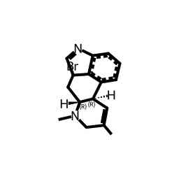 CC1=C[C@@H]2c3cccc4c3C(Br)(C=N4)C[C@H]2N(C)C1